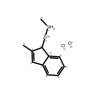 C[SiH2][Zr+2][CH]1C(C)=Cc2ccccc21.[Cl-].[Cl-]